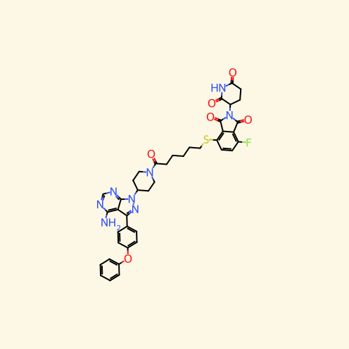 Nc1ncnc2c1c(-c1ccc(Oc3ccccc3)cc1)nn2C1CCN(C(=O)CCCCCSc2ccc(F)c3c2C(=O)N(C2CCC(=O)NC2=O)C3=O)CC1